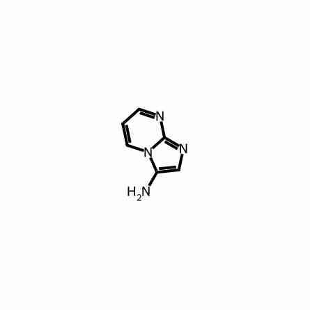 Nc1cnc2ncccn12